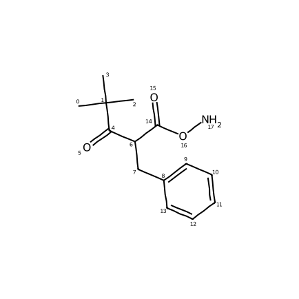 CC(C)(C)C(=O)C(Cc1ccccc1)C(=O)ON